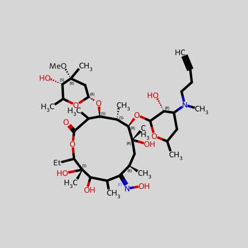 C#CCCN(C)C1CC(C)OC(O[C@@H]2[C@@H](C)[C@H](O[C@H]3C[C@@](C)(OC)[C@@H](O)C(C)O3)C(C)C(=O)OC(CC)[C@@](C)(O)C(O)C(C)/C(=N/O)[C@H](C)C[C@@]2(C)O)[C@@H]1O